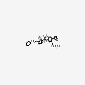 CC(C)n1c(CCOc2ccccc2)ccc1C(=O)Nc1cc(CC(=O)O)c(-c2ccoc2)cc1C(F)(F)F